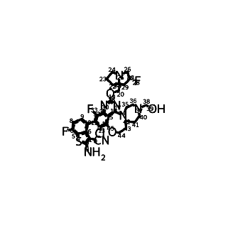 N#Cc1c(N)sc2c(F)ccc(-c3c(Cl)c4c5c(nc(OC[C@@]67CCCN6C[C@H](F)C7)nc5c3F)N3CCN(CO)CCC3CCO4)c12